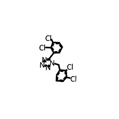 Clc1cccc(Cn2nnnc2-c2cccc(Cl)c2Cl)c1Cl